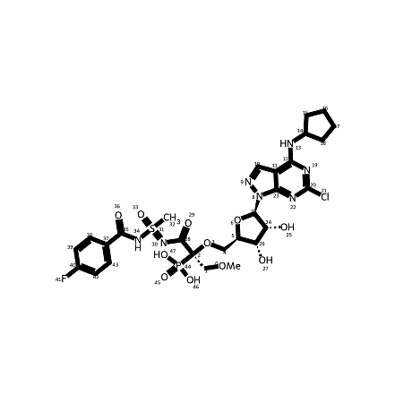 COC[C@@](OC[C@H]1O[C@@H](n2ncc3c(NC4CCCC4)nc(Cl)nc32)[C@H](O)[C@@H]1O)(C(=O)N=S(C)(=O)NC(=O)c1ccc(F)cc1)P(=O)(O)O